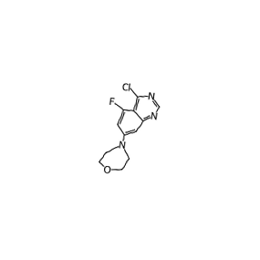 Fc1cc(N2CCOCC2)cc2ncnc(Cl)c12